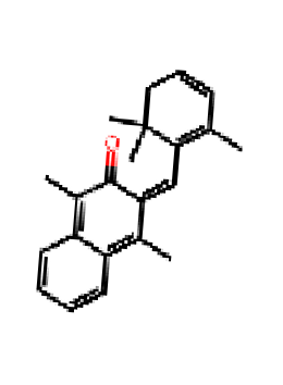 CC1=C(C=C2C(=O)C(C)=c3ccccc3=C2C)C(C)(C)CC=C1